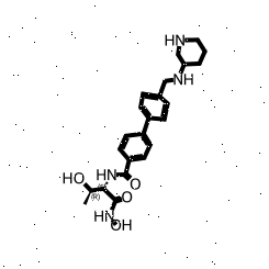 C[C@@H](O)[C@H](NC(=O)c1ccc(-c2ccc(CNC3CCCNC3)cc2)cc1)C(=O)NO